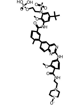 COc1cc(Nc2ncc3cc(-c4cc(C(=O)Nc5cc(C(C)(C)C)cc(N(CCOP(=O)(O)O)S(C)(=O)=O)c5OC)ccc4C)ccc3n2)ccc1C(=O)NCCN1CC[S+]([O-])CC1